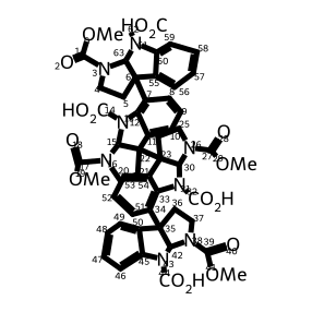 COC(=O)N1CCC2(c3cccc4c3N(C(=O)O)C3N(C(=O)OC)CCC43C34CCN(C(=O)OC)C3N(C(=O)O)c3c(C56CCN(C(=O)OC)C5N(C(=O)O)c5ccccc56)cccc34)c3ccccc3N(C(=O)O)C12